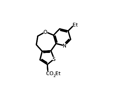 CCOC(=O)c1cc2c(s1)-c1ncc(CC)cc1OCC2